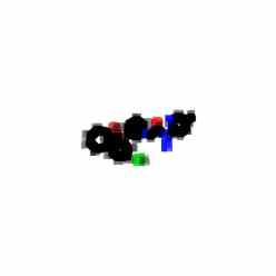 Cc1ccc(NC(=O)C[N+]23CCC(CC2)C(OC(=O)C2(c4ccccc4)CCCCCC2)C3)nc1.[Cl-]